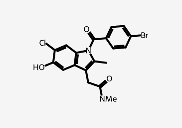 CNC(=O)Cc1c(C)n(C(=O)c2ccc(Br)cc2)c2cc(Cl)c(O)cc12